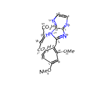 COc1ccc(-c2nc3nccnc3[nH]2)c(OC)c1.O=C(O)/C=C/C(=O)O